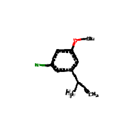 C=C[C](C)c1cc(Br)cc(OC(C)(C)C)c1